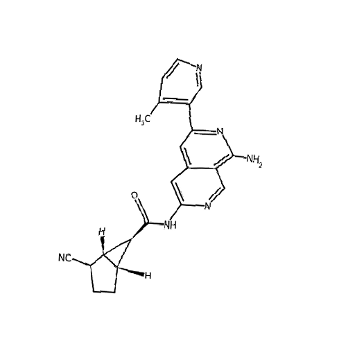 Cc1ccncc1-c1cc2cc(NC(=O)[C@H]3[C@@H]4CCC(C#N)[C@@H]43)ncc2c(N)n1